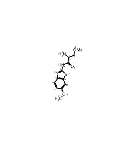 COC[C@H](N)C(=O)Nc1nc2ccc(OC(F)(F)F)cc2s1